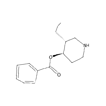 CC[C@@H]1CNCC[C@H]1OC(=O)c1ccccc1